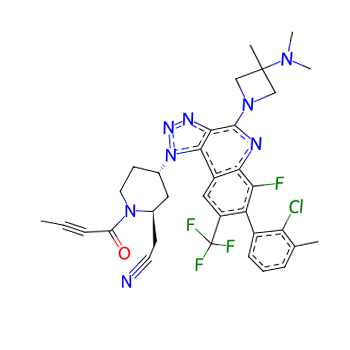 CC#CC(=O)N1CC[C@H](n2nnc3c(N4CC(C)(N(C)C)C4)nc4c(F)c(-c5cccc(C)c5Cl)c(C(F)(F)F)cc4c32)C[C@H]1CC#N